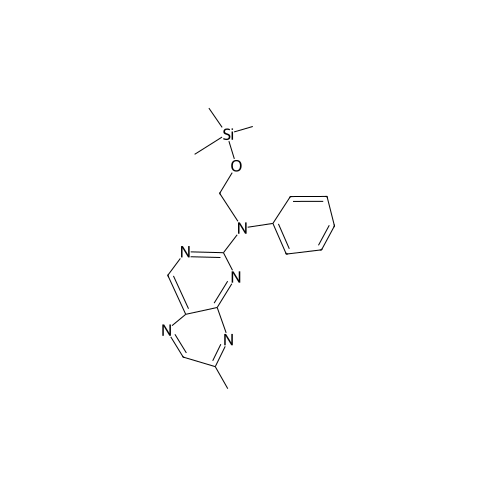 Cc1cnc2cnc(N(CO[Si](C)(C)C)c3ccccc3)nc2n1